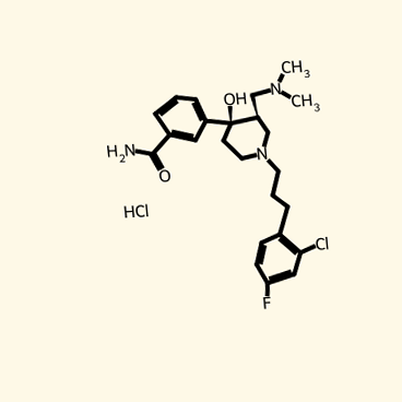 CN(C)C[C@H]1CN(CCCc2ccc(F)cc2Cl)CC[C@]1(O)c1cccc(C(N)=O)c1.Cl